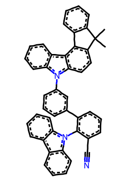 CC1(C)c2ccccc2-c2c1ccc1c2c2ccccc2n1-c1cccc(-c2cccc(C#N)c2-n2c3ccccc3c3ccccc32)c1